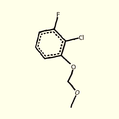 COCOc1cccc(F)c1Cl